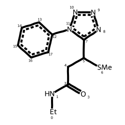 CCNC(=O)CC(SC)c1nnnn1-c1ccccc1